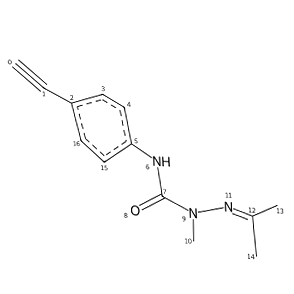 C#Cc1ccc(NC(=O)N(C)N=C(C)C)cc1